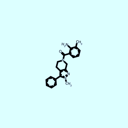 Cc1cccc(C(=O)N2CCc3c(nn(C)c3-c3ccccc3)C2)c1N